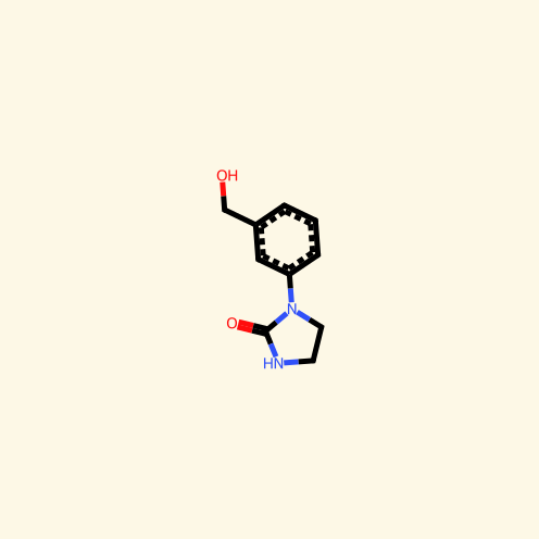 O=C1NCCN1c1cccc(CO)c1